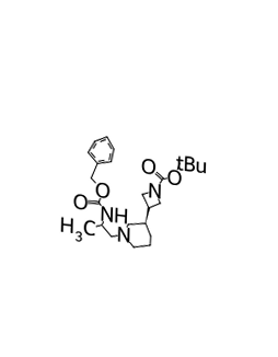 CC(CN1CCC[C@H](C2CN(C(=O)OC(C)(C)C)C2)C1)NC(=O)OCc1ccccc1